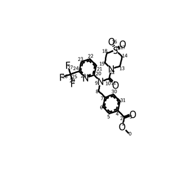 COC(=O)c1ccc(CN(C(=O)N2CCS(=O)(=O)CC2)c2cccc(C(F)(F)F)n2)cc1